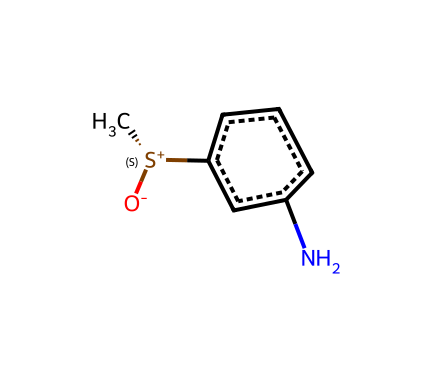 C[S@@+]([O-])c1cccc(N)c1